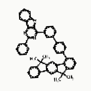 CC1(C)c2ccccc2-c2cc3c(cc21)-c1c(-c2ccc(-c4cccc(-c5nc(-c6ccccc6)nc6c5sc5ccccc56)c4)cc2)cccc1C3(C)C